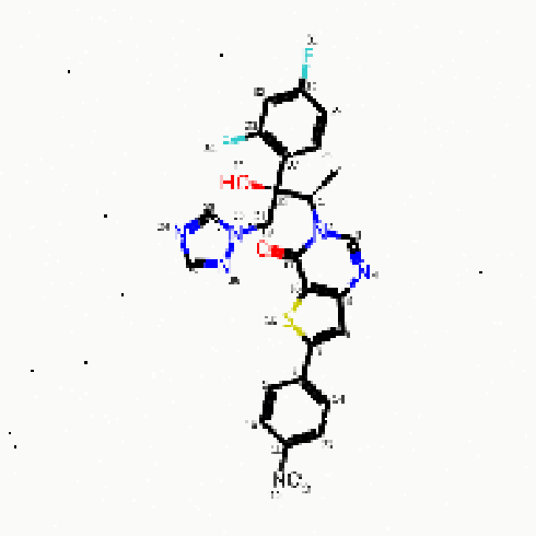 C[C@@H](n1cnc2cc(-c3ccc([N+](=O)[O-])cc3)sc2c1=O)[C@](O)(Cn1cncn1)c1ccc(F)cc1F